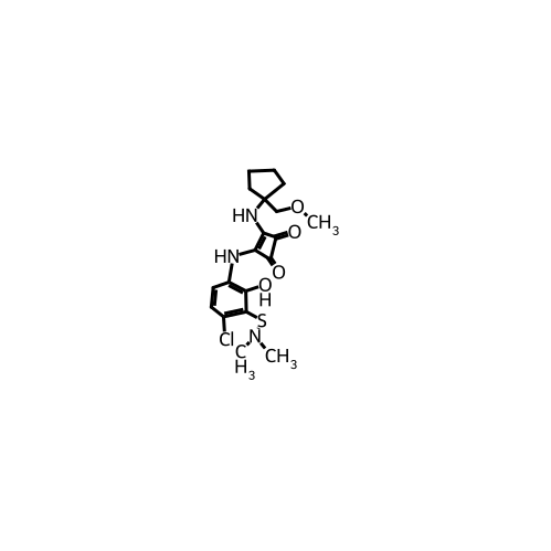 COCC1(Nc2c(Nc3ccc(Cl)c(SN(C)C)c3O)c(=O)c2=O)CCCC1